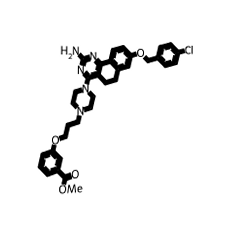 COC(=O)c1cccc(OCCCN2CCN(c3nc(N)nc4c3CCc3cc(OCc5ccc(Cl)cc5)ccc3-4)CC2)c1